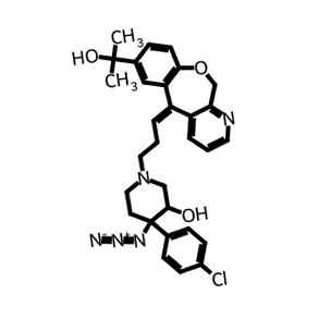 CC(C)(O)c1ccc2c(c1)/C(=C/CCN1CCC(N=[N+]=[N-])(c3ccc(Cl)cc3)C(O)C1)c1cccnc1CO2